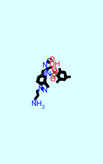 Cc1cc(C)c(S(=O)(=O)N[C@](Cc2ccc3c(cnn3CCCN)c2)(N=C=O)C(=O)O)c(C)c1